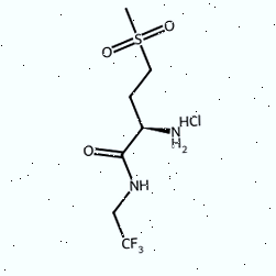 CS(=O)(=O)CC[C@@H](N)C(=O)NCC(F)(F)F.Cl